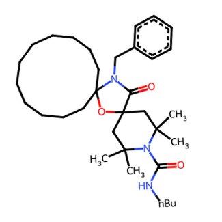 CCCCNC(=O)N1C(C)(C)CC2(CC1(C)C)OC1(CCCCCCCCCCC1)N(Cc1ccccc1)C2=O